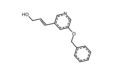 OC/C=C/c1cncc(OCc2ccccc2)c1